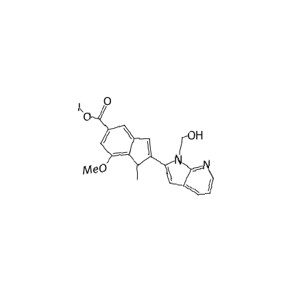 COc1cc(C(=O)OI)cc2c1C(C)C(c1cc3cccnc3n1CO)=C2